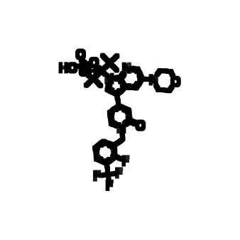 CC(C)(C)C(OP(=O)(O)O)(n1cc(-c2ccn(Cc3cccc(C(F)(F)F)c3F)c(=O)c2)c2cc(N3CCOCC3)cnc21)C(C)(C)C